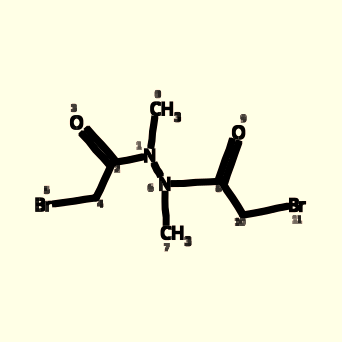 CN(C(=O)CBr)N(C)C(=O)CBr